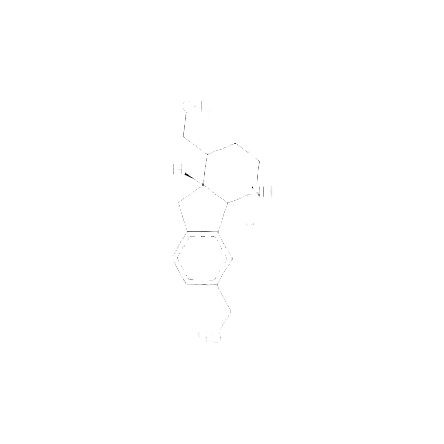 CCC1CCN[C@H]2c3cc(CO)ccc3C[C@H]12